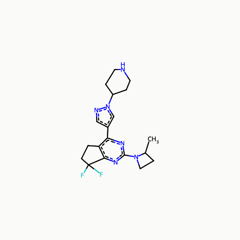 CC1CCN1c1nc(-c2cnn(C3CCNCC3)c2)c2c(n1)C(F)(F)CC2